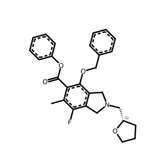 Cc1c(F)c2c(c(OCc3ccccc3)c1C(=O)Oc1ccccc1)CN(C[C@@H]1CCCO1)C2